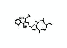 B/C(=C(/CCC1C=CC2=C(C1)C(C)C/C(C)=C/C(C=C)=C\C=C\C2=C)C(=N)c1c(C)cccc1C)C1CC1